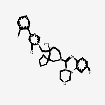 O=C(N1CC[C@@](O)(Cn2cnc(-c3ccccc3F)cc2=O)C2(CCCC2)C1)N1CCNC[C@H]1c1cc(F)ccc1F